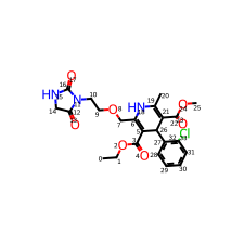 CCOC(=O)C1=C(COCCN2C(=O)CNC2=O)NC(C)=C(C(=O)OC)C1c1ccccc1Cl